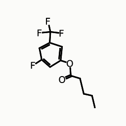 CCCCC(=O)Oc1cc(F)cc(C(F)(F)F)c1